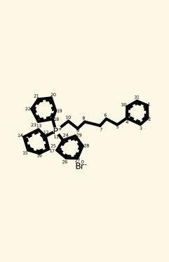 [Br-].c1ccc(CCCCCC[P+](c2ccccc2)(c2ccccc2)c2ccccc2)cc1